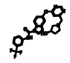 O=C(Nc1cccc(C(F)(F)F)c1)n1ccc2cc(Oc3cc(CN4CC[C@@H](O)C4)ncn3)ccc21